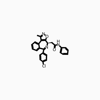 Cc1noc2c1-c1ccccc1C(c1ccc(Cl)cc1)=N[C@@H]2CC(=O)Nc1ccccc1